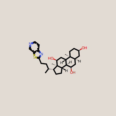 CC(CCc1nc2ccncc2s1)[C@H]1CC[C@H]2[C@@H]3[C@H](O)C[C@@H]4C[C@H](O)CC[C@]4(C)[C@H]3C[C@H](O)[C@]12C